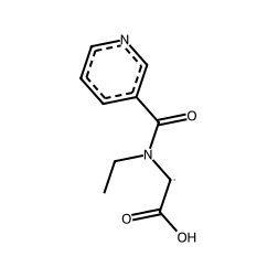 CCN([CH]C(=O)O)C(=O)c1cccnc1